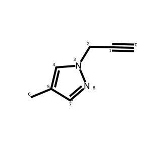 C#CCn1cc(C)[c]n1